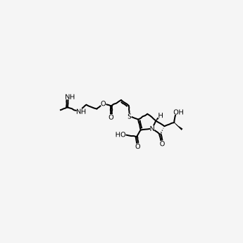 CC(=N)NCCOC(=O)/C=C\SC1=C(C(=O)O)N2C(=O)[C@@H]([C@H](C)O)[C@H]2C1